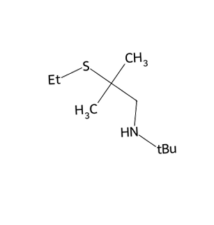 CCSC(C)(C)CNC(C)(C)C